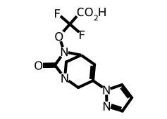 O=C1N2CC(n3cccn3)=CC(C2)N1OC(F)(F)C(=O)O